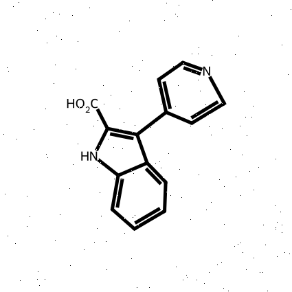 O=C(O)c1[nH]c2ccccc2c1-c1ccncc1